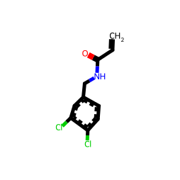 C=CC(=O)NCc1ccc(Cl)c(Cl)c1